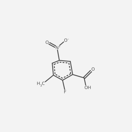 Cc1cc([N+](=O)[O-])cc(C(=O)O)c1F